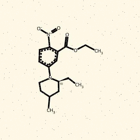 CCOC(=O)c1cc(N2CCC(C)C[C@@H]2CC)ccc1[N+](=O)[O-]